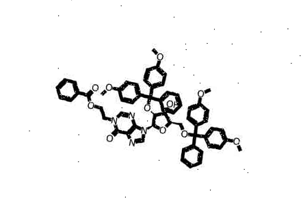 COc1ccc(C(OC[C@H]2O[C@@H](n3cnc4c(=O)n(CCOC(=O)c5ccccc5)cnc43)[C@H](OC(c3ccccc3)(c3ccc(OC)cc3)c3ccc(OC)cc3)[C@H]2O)(c2ccccc2)c2ccc(OC)cc2)cc1